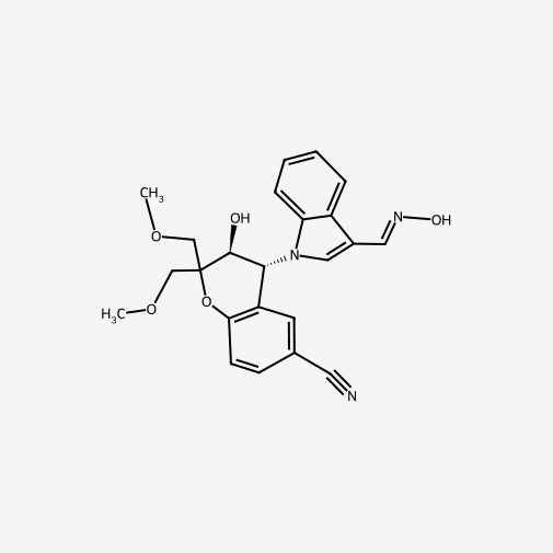 COCC1(COC)Oc2ccc(C#N)cc2[C@@H](n2cc(/C=N/O)c3ccccc32)[C@@H]1O